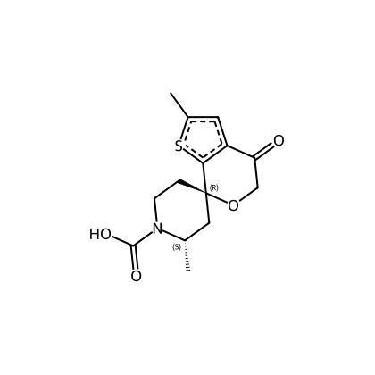 Cc1cc2c(s1)[C@]1(CCN(C(=O)O)[C@@H](C)C1)OCC2=O